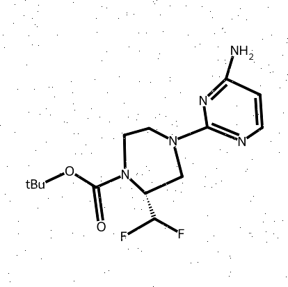 CC(C)(C)OC(=O)N1CCN(c2nccc(N)n2)C[C@@H]1C(F)F